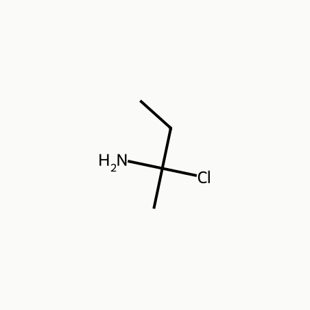 CCC(C)(N)Cl